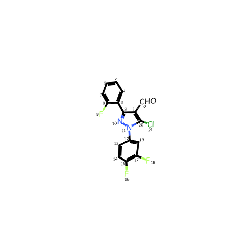 O=Cc1c(-c2ccccc2F)nn(-c2ccc(F)c(F)c2)c1Cl